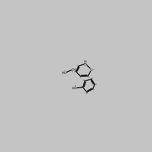 C1=CNOC=C1.CO.Oc1ccccc1